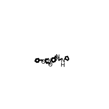 O=c1cc(OCc2ccccc2)ccn1-c1ccc2c(cnn2CCNC2CCCC2)c1